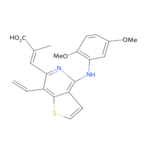 C=Cc1c(/C=C(\C)C(=O)O)nc(Nc2cc(OC)ccc2OC)c2ccsc12